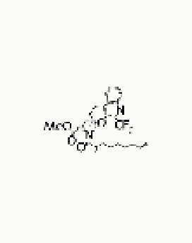 C=CCCCCC[C@H](C)C(=O)N1C[C@@]2(CCc3c(c(C(F)(F)F)nc4ccccc34)O2)C[C@H]1C(=O)OC